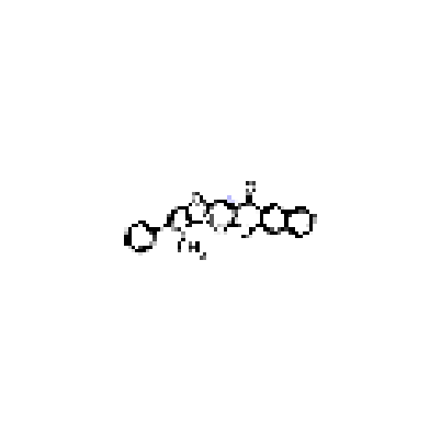 Cn1c(-c2ccccc2)cc2oc(/C=C3\C(=O)Oc4cc5ccccc5cc4C3=O)nc21